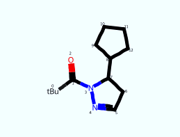 CC(C)(C)C(=O)N1N=CCC1C1CCCC1